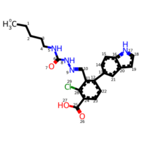 CCCCCNC(=O)NN=Cc1c(-c2ccc3[nH]ccc3c2)ccc(C(=O)O)c1Cl